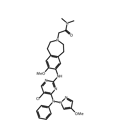 COc1cnn(N(c2ccccc2)c2nc(Nc3cc4c(cc3OC)CCN(CC(=O)N(C)C)CC4)ncc2Cl)c1